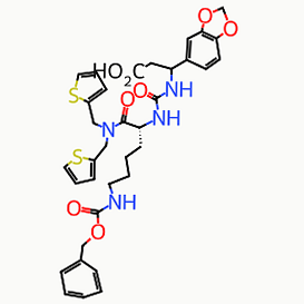 O=C(O)CC(NC(=O)N[C@H](CCCCNC(=O)OCc1ccccc1)C(=O)N(Cc1cccs1)Cc1cccs1)c1ccc2c(c1)OCO2